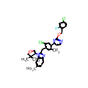 Cc1cc(Cc2nc3ccc(C(=O)O)cc3n2C2COCC2(C)C)c(Cl)cc1-c1ccnc(OCc2ccc(Cl)cc2F)n1